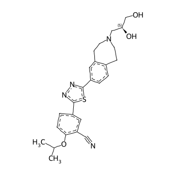 CC(C)Oc1ccc(-c2nnc(-c3ccc4c(c3)CCN(C[C@H](O)CO)CC4)s2)cc1C#N